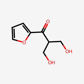 O=C(c1ccco1)C(CO)CO